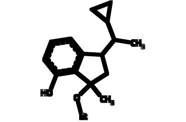 CCOC1(C)CC(C(C)C2CC2)c2cccc(O)c21